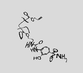 C=CCOC(=O)C(C)(C)CC(C)(CC)C(=O)OCCNC(=O)Nc1ccc(S(N)(=O)=O)cc1O